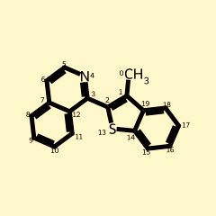 Cc1c(-c2nccc3ccccc23)sc2ccccc12